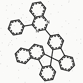 c1ccc(-c2nc(-c3ccc4c(c3)C3(c5ccccc5-4)c4ccccc4-c4c3ccc3ccccc43)nc3ccccc23)cc1